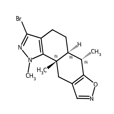 C[C@@H]1c2oncc2C[C@]2(C)c3c(c(Br)nn3C)CC[C@@H]12